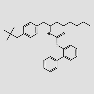 CCCCCCC(Cc1ccc(CC(C)(C)C)cc1)NC(=O)Oc1ccccc1-c1ccccc1